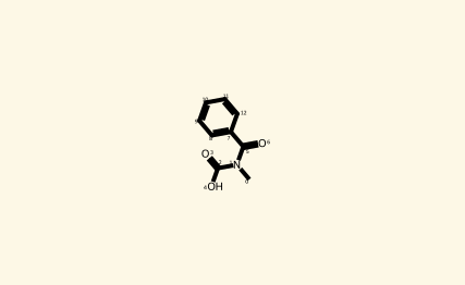 CN(C(=O)O)C(=O)c1ccccc1